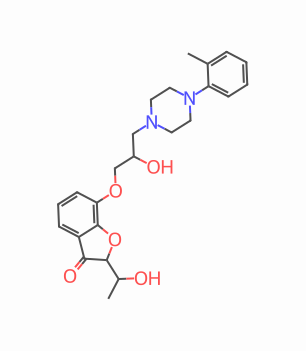 Cc1ccccc1N1CCN(CC(O)COc2cccc3c2OC(C(C)O)C3=O)CC1